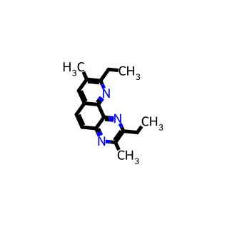 CCc1nc2c(ccc3nc(C)c(CC)nc32)cc1C